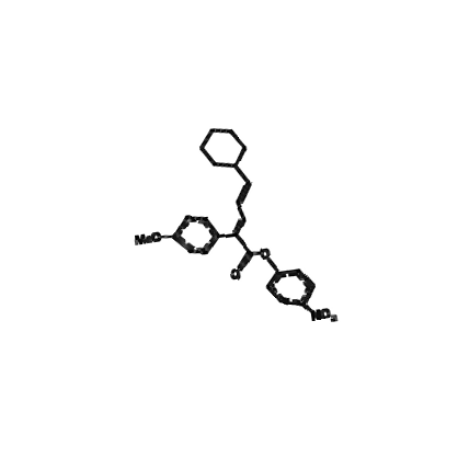 COc1ccc(/C(=C\C=C\C2CCCCC2)C(=O)Oc2ccc([N+](=O)[O-])cc2)cc1